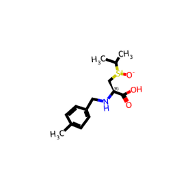 Cc1ccc(CN[C@@H](C[S+]([O-])C(C)C)C(=O)O)cc1